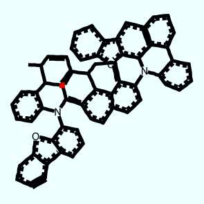 CC1C=CC=CC1c1ccccc1N(C1=c2ccc3ccc(N(c4ccccc4-c4ccccc4)c4cccc5c4oc4ccccc45)c4c3c2C(C=C1)CC=4)c1cccc2c1oc1ccc#cc12